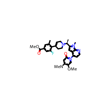 CNc1cc(=O)n(-c2ccnc3c2cc([C@H](C)N2CC=C(c4c(C)cc(C(=O)OC)cc4F)CC2)n3C)cc1OC